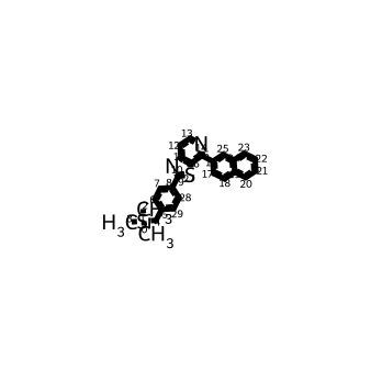 C[Si](C)(C)Cc1ccc(-c2nc3ccnc(-c4ccc5ccccc5c4)c3s2)cc1